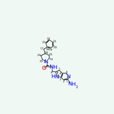 Nc1cc2c(cn1)CC(CNC(=O)N1CCC(Cc3ccccc3)CC1)N2